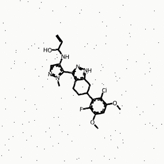 C=CC(O)Nc1cnn(C)c1-c1n[nH]c2c1CCC(c1c(F)c(OC)cc(OC)c1Cl)C2